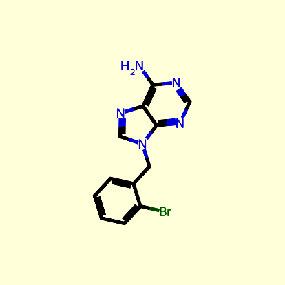 Nc1ncnc2c1ncn2Cc1ccccc1Br